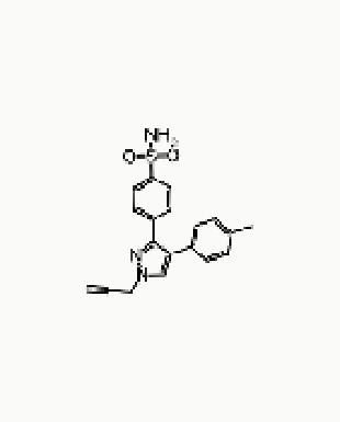 C#CCn1cc(-c2ccc(C)cc2)c(-c2ccc(S(N)(=O)=O)cc2)n1